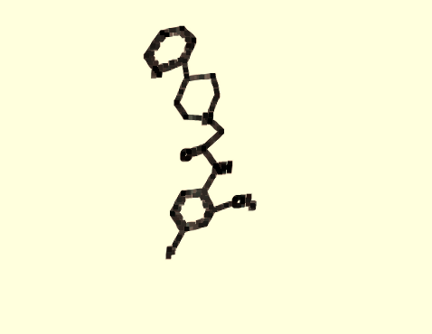 Cc1cc(F)ccc1NC(=O)CN1CCC(c2ccccn2)CC1